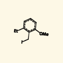 CCc1cccc(OC)c1CI